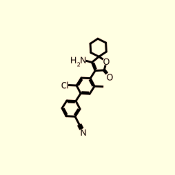 Cc1cc(-c2cccc(C#N)c2)c(Cl)cc1C1=C(N)C2(CCCCC2)OC1=O